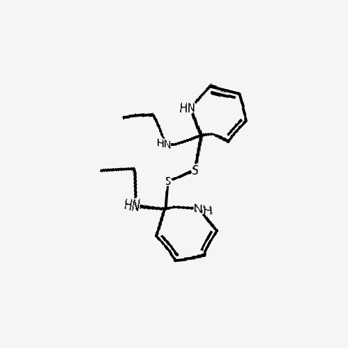 CCNC1(SSC2(NCC)C=CC=CN2)C=CC=CN1